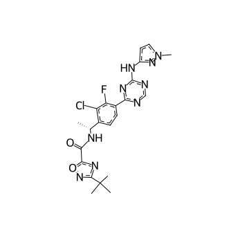 C[C@@H](NC(=O)c1nc(C(C)(C)C)no1)c1ccc(-c2ncnc(Nc3ccn(C)n3)n2)c(F)c1Cl